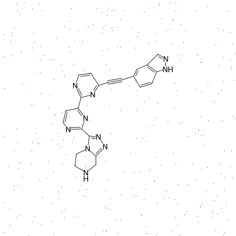 C(#Cc1ccnc(-c2ccnc(-c3nnc4n3CCNC4)n2)n1)c1ccc2[nH]ncc2c1